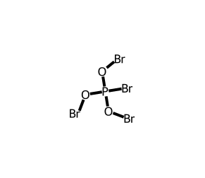 BrO[P](Br)(OBr)OBr